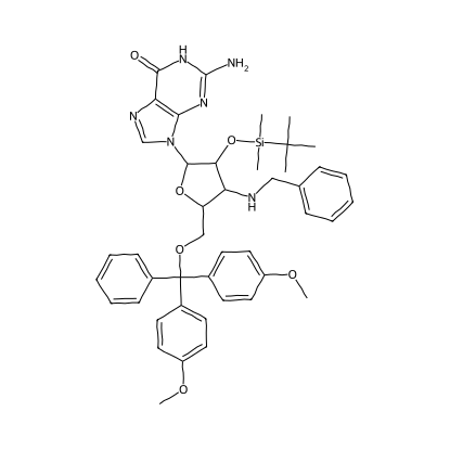 COc1ccc(C(OCC2OC(n3cnc4c(=O)[nH]c(N)nc43)C(O[Si](C)(C)C(C)(C)C)C2NCc2ccccc2)(c2ccccc2)c2ccc(OC)cc2)cc1